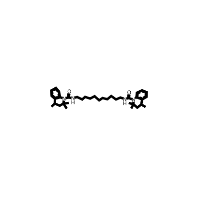 CC1CC(C)(C)N(C(=O)NCCCCCCCCCCCNC(=O)N2c3ccccc3C(C)CC2(C)C)c2ccccc21